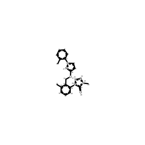 Cc1ccccc1-n1ccc(OCc2c(C)cccc2-n2nnn(C)c2=O)n1